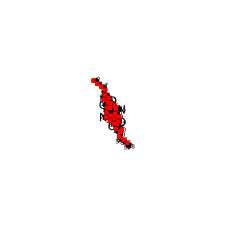 CC(C)=CCC[C@H](C)CCc1ccc(N2C(=O)c3ccc4c5c(C#N)cc6c7c(ccc(c8c(C#N)cc(c3c48)C2=O)c75)C(=O)N(c2ccc(CC[C@@H](C)CCC=C(C)C)cc2)C6=O)cc1